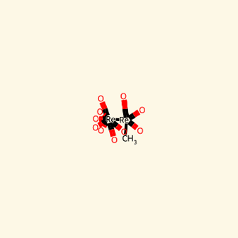 [CH3][Re](=[O])(=[O])(=[O])[Re](=[O])(=[O])(=[O])(=[O])(=[O])(=[O])=[O]